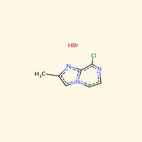 Br.Cc1cn2ccnc(Cl)c2n1